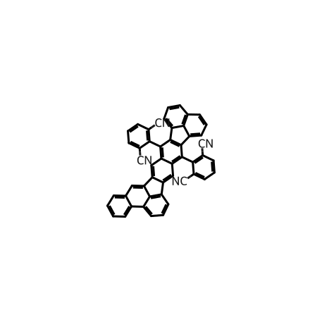 N#Cc1cccc(C#N)c1-c1c2cc3c(cc2c(-c2c(C#N)cccc2C#N)c2c4cccc5cccc(c12)c54)c1cc2ccccc2c2cccc3c21